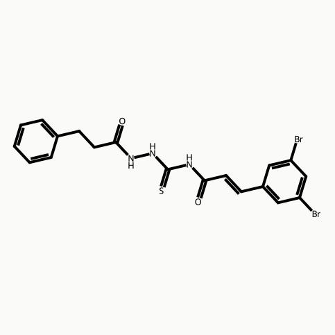 O=C(C=Cc1cc(Br)cc(Br)c1)NC(=S)NNC(=O)CCc1ccccc1